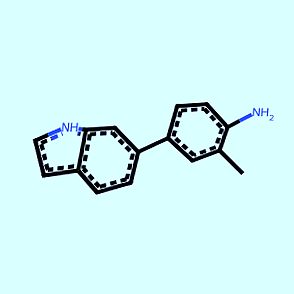 Cc1cc(-c2ccc3cc[nH]c3c2)ccc1N